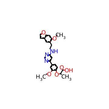 CCOc1cc(-c2cc(NCCc3cc4ccoc4cc3OC)ncn2)ccc1OC(C)C(=O)O